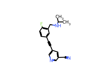 CC(C)NCc1cc(C#Cc2cncc(C#N)c2)ccc1F